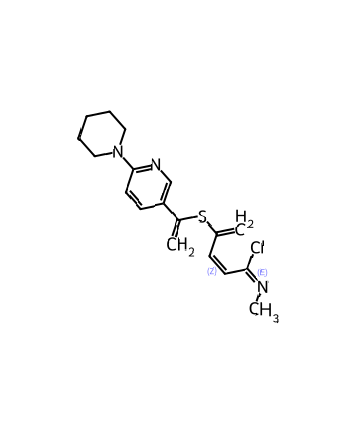 C=C(/C=C\C(Cl)=N/C)SC(=C)c1ccc(N2CCCCC2)nc1